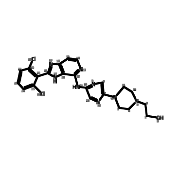 OCCN1CCN(c2cnc(Nc3nccc4nc(-c5c(Cl)cccc5Cl)[nH]c34)cn2)CC1